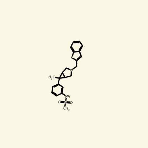 CC1(c2cccc(NS(C)(=O)=O)c2)C2CN(Cc3cc4ccccc4s3)CC21